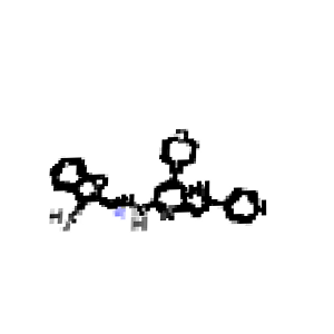 Cc1c(/C=N/Nc2cc(N3CCOCC3)n3nc(-c4ccncc4)cc3n2)oc2ccccc12